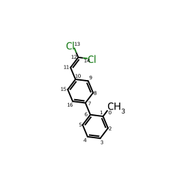 Cc1ccccc1-c1ccc(C=C(Cl)Cl)cc1